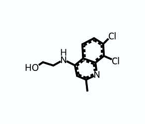 Cc1cc(NCCO)c2ccc(Cl)c(Cl)c2n1